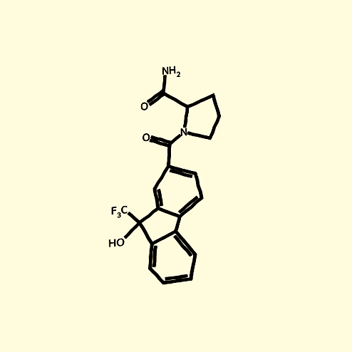 NC(=O)C1CCCN1C(=O)c1ccc2c(c1)C(O)(C(F)(F)F)c1ccccc1-2